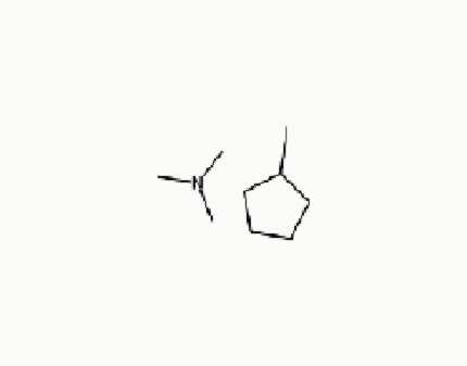 CN(C)C.IC1CCCC1